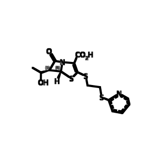 CC(O)[C@H]1C(=O)N2C(C(=O)O)=C(SCCSc3ccccn3)S[C@H]12